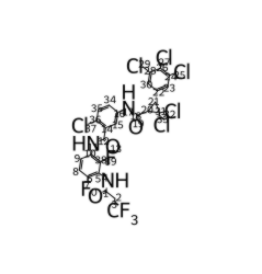 O=C(CC(F)(F)F)Nc1c(F)ccc(NC(=O)c2cc(NC(=O)C3[C@H](c4cc(Cl)c(Cl)c(Cl)c4)C3(Cl)Cl)ccc2Cl)c1F